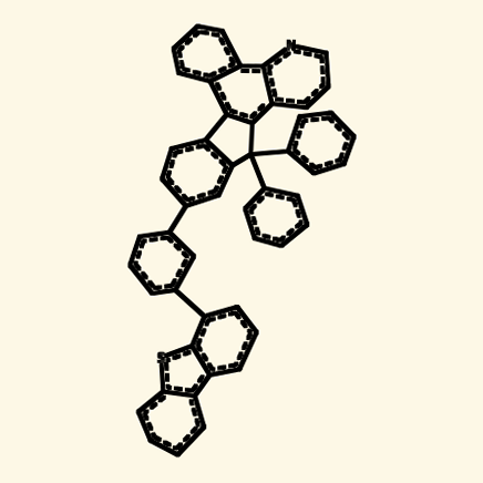 c1ccc(C2(c3ccccc3)c3cc(-c4cccc(-c5cccc6c5sc5ccccc56)c4)ccc3-c3c2c2cccnc2c2ccccc32)cc1